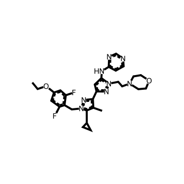 CCOc1cc(F)c(Cn2nc(-c3cc(Nc4ccncn4)n(CCN4CCOCC4)n3)c(C)c2C2CC2)c(F)c1